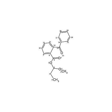 CCC(OC)OC(=O)c1ccccc1C(=O)c1ccccc1